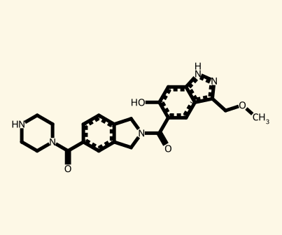 COCc1n[nH]c2cc(O)c(C(=O)N3Cc4ccc(C(=O)N5CCNCC5)cc4C3)cc12